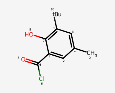 Cc1cc(C(=O)Cl)c(O)c(C(C)(C)C)c1